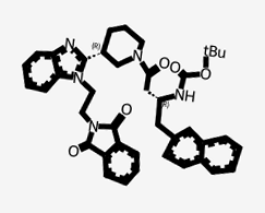 CC(C)(C)OC(=O)N[C@@H](CC(=O)N1CCC[C@@H](c2nc3ccccc3n2CCN2C(=O)c3ccccc3C2=O)C1)Cc1ccc2ccccc2c1